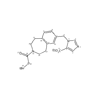 CCOC(=O)c1cncn1Cc1ccc2c(c1)CCN(C(=O)OC(C)(C)C)CC2